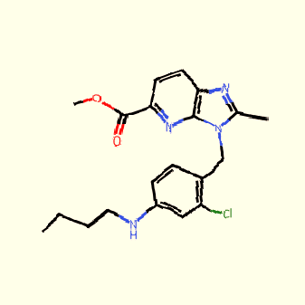 CCCCNc1ccc(Cn2c(C)nc3ccc(C(=O)OC)nc32)c(Cl)c1